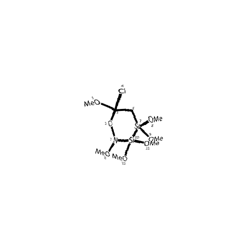 CON1OC(Cl)(OC)C[Si](OC)(OC)[Si]1(OC)OC